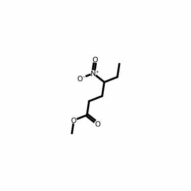 CCC(CCC(=O)OC)[N+](=O)[O-]